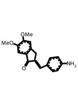 COc1cc2c(cc1OC)C(=O)C(=Cc1ccc(N)cc1)C2